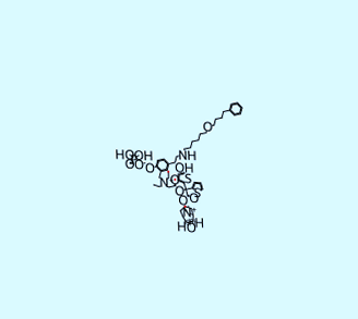 CC[N+](CC)(CC(=O)OC(C(=O)OC1CC2[C@H]3O[C@H]3C(C1)[N+]2(C)C)(c1cccs1)c1cccs1)Cc1cc(C(O)CNCCCCCCOCCCCc2ccccc2)ccc1OCOP(=O)(O)O